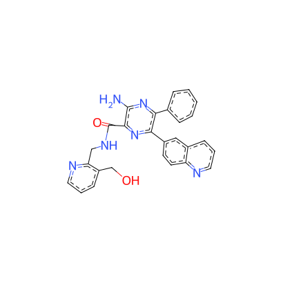 Nc1nc(-c2ccccc2)c(-c2ccc3ncccc3c2)nc1C(=O)NCc1ncccc1CO